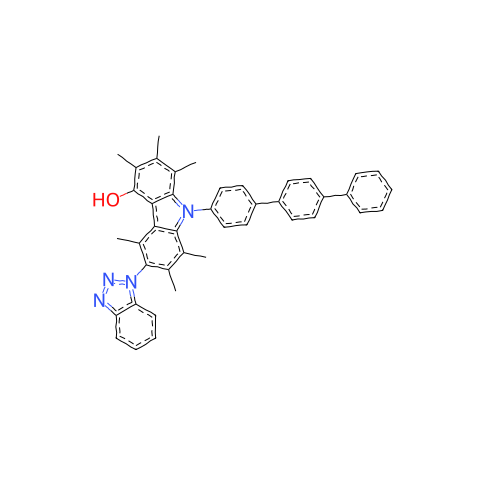 Cc1c(C)c(C)c2c(c1O)c1c(C)c(-n3nnc4ccccc43)c(C)c(C)c1n2-c1ccc(-c2ccc(-c3ccccc3)cc2)cc1